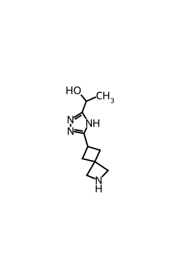 CC(O)c1nnc(C2CC3(CNC3)C2)[nH]1